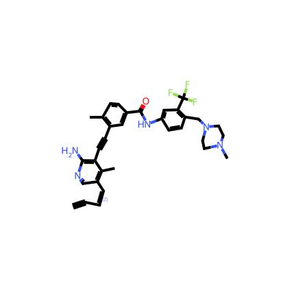 C#C/C=C\c1cnc(N)c(C#Cc2cc(C(=O)Nc3ccc(CN4CCN(C)CC4)c(C(F)(F)F)c3)ccc2C)c1C